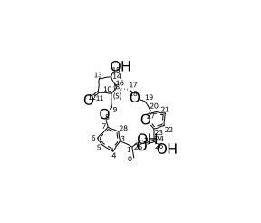 CC(O)c1cccc(OC[C@H]2C(=O)CC(O)[C@@H]2COCc2ccc(C(=O)O)o2)c1